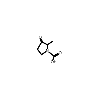 CC1C(=O)CCN1C(=O)O